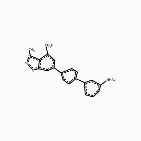 CC(=O)Nc1cccc(-c2ccc(-c3cc(C(=O)O)c4c(c3)nnn4C)cc2)c1